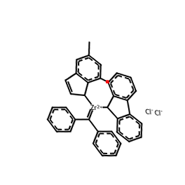 Cc1cc(C)c2c(c1)C=C[CH]2[Zr+2](=[C](c1ccccc1)c1ccccc1)[CH]1c2ccccc2-c2ccccc21.[Cl-].[Cl-]